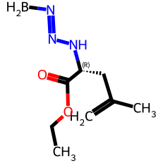 BN=NN[C@H](CC(=C)C)C(=O)OCC